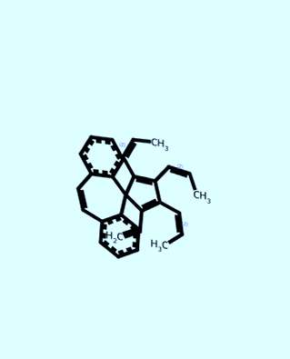 C=CC1=C(/C=C\C)C(/C=C\C)=C(/C=C\C)C12c1ccccc1C=Cc1ccccc12